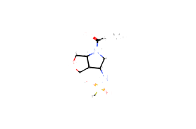 COC(=O)N1CC(NS(C)(=O)=O)C2COCC21